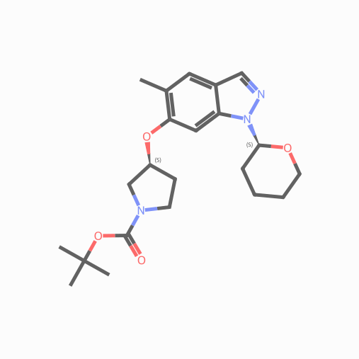 Cc1cc2cnn([C@@H]3CCCCO3)c2cc1O[C@H]1CCN(C(=O)OC(C)(C)C)C1